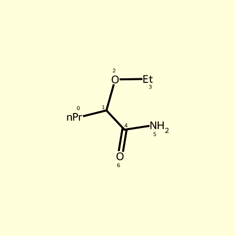 CCCC(OCC)C(N)=O